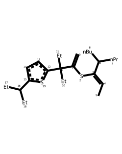 C=C(S/C(=C\C)C(CCC)CCCC)C(CC)(CC)c1ccc(C(CC)CC)s1